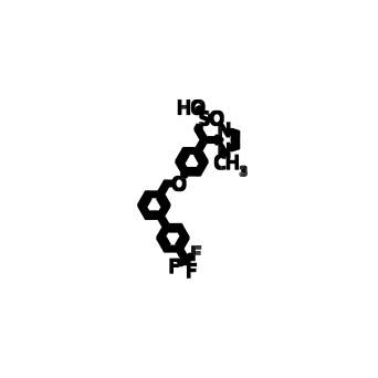 Cn1ccnc1C(CS(=O)O)c1ccc(OCc2cccc(-c3ccc(C(F)(F)F)cc3)c2)cc1